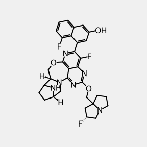 Oc1cc(-c2nc3c4c(nc(OCC56CCCN5C[C@H](F)C6)nc4c2F)N2C[C@@H]4CCC(N4)[C@@H]2CO3)c2c(F)cccc2c1